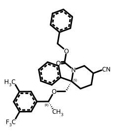 Cc1cc([C@@H](C)OC[C@@]2(c3ccccc3)CCC(C#N)CN2C(=O)OCc2ccccc2)cc(C(F)(F)F)c1